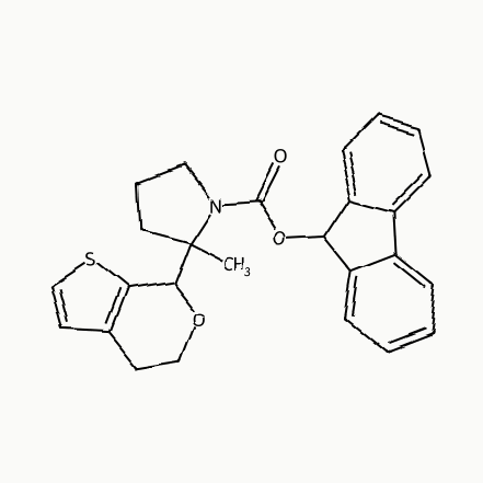 CC1(C2OCCc3ccsc32)CCCN1C(=O)OC1c2ccccc2-c2ccccc21